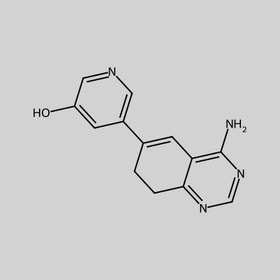 Nc1ncnc2c1C=C(c1cncc(O)c1)CC2